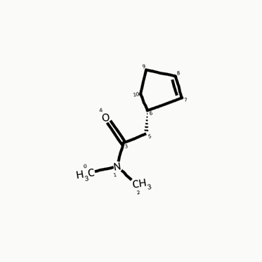 CN(C)C(=O)C[C@H]1C=CCC1